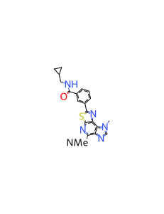 CNc1nc2sc(-c3cccc(C(=O)NCC4CC4)c3)nc2c2c1ncn2C